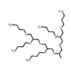 CC(COCC(COCCCN)OCCCN)OCC(COCC(COCCCN)OCCCN)OCCCN